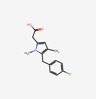 Cc1cc(CC(=O)O)n(C)c1Cc1ccc(Cl)cc1